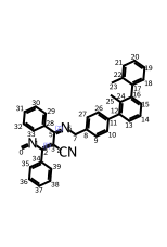 C=N/C(=C(C#N)\C(=N/Cc1ccc(-c2cccc(-c3ccccc3C)c2C)cc1)c1ccccc1)c1ccccc1